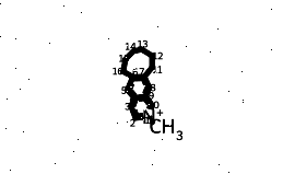 C[n+]1ccc2cc3c(cc2c1)CCCCCC3